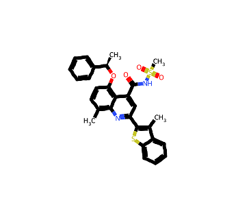 Cc1c(-c2cc(C(=O)NS(C)(=O)=O)c3c(O[C@H](C)c4ccccc4)ccc(C)c3n2)sc2ccccc12